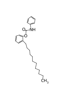 CCCCCCCCCCCCc1ccccc1OC(=O)Nc1ccccc1